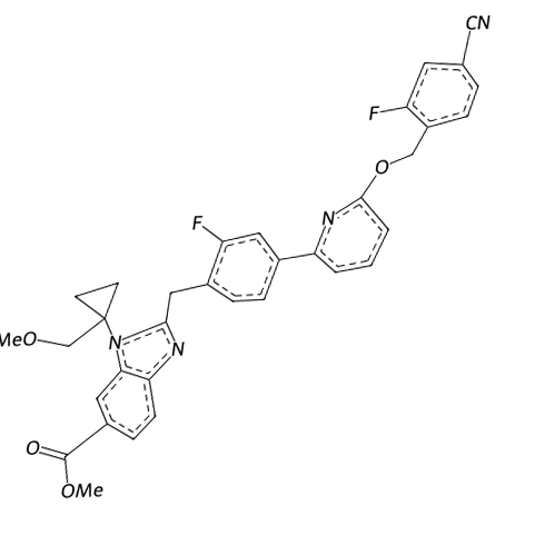 COCC1(n2c(Cc3ccc(-c4cccc(OCc5ccc(C#N)cc5F)n4)cc3F)nc3ccc(C(=O)OC)cc32)CC1